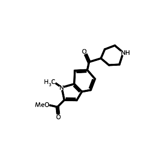 COC(=O)c1cc2ccc(C(=O)C3CCNCC3)cc2n1C